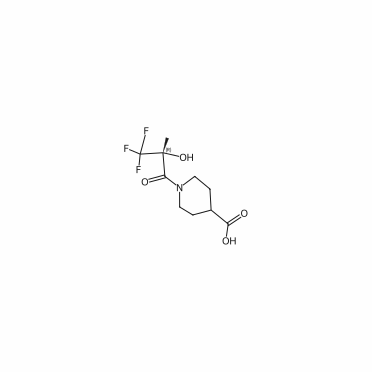 C[C@@](O)(C(=O)N1CCC(C(=O)O)CC1)C(F)(F)F